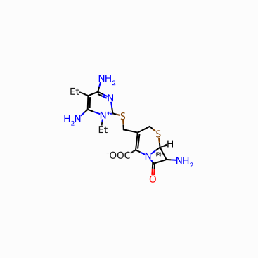 CCc1c(N)nc(SCC2=C(C(=O)[O-])N3C(=O)C(N)[C@H]3SC2)[n+](CC)c1N